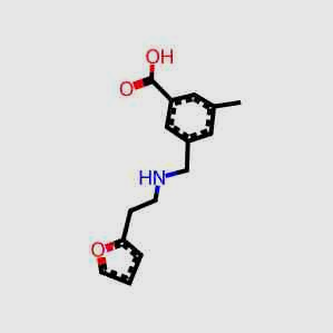 Cc1cc(CNCCc2ccco2)cc(C(=O)O)c1